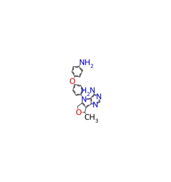 CC1OCc2c1c1ncnc(N)c1n2-c1ccc(Oc2ccc(N)cc2)cc1